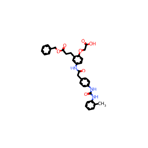 Cc1ccccc1NC(=O)Nc1ccc(CC(=O)Nc2ccc(OCC(=O)O)c(CCC(=O)OCc3ccccc3)c2)cc1